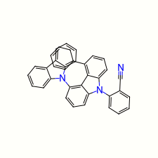 N#Cc1ccccc1-n1c2cccc(C3C=CC=CC3)c2c2c(-n3c4ccccc4c4ccccc43)cccc21